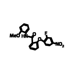 COc1ccccc1NC(=O)c1ccccc1Oc1ccc([N+](=O)[O-])cc1F